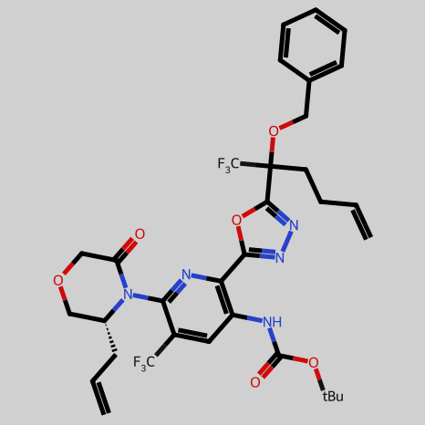 C=CCCC(OCc1ccccc1)(c1nnc(-c2nc(N3C(=O)COC[C@H]3CC=C)c(C(F)(F)F)cc2NC(=O)OC(C)(C)C)o1)C(F)(F)F